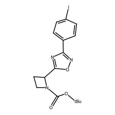 CC(C)(C)OC(=O)N1CCC1c1nc(-c2ccc(I)cc2)no1